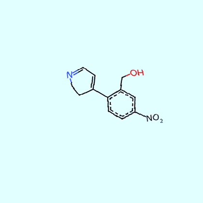 O=[N+]([O-])c1ccc(C2=CC=NCC2)c(CO)c1